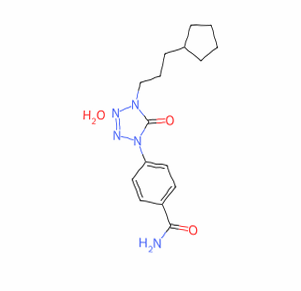 NC(=O)c1ccc(-n2nnn(CCCC3CCCC3)c2=O)cc1.O